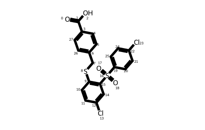 O=C(O)c1ccc(CSc2ccc(Cl)cc2S(=O)(=O)c2ccc(Cl)cc2)cc1